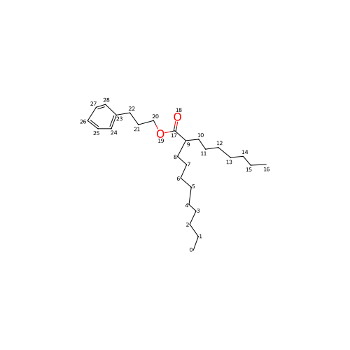 CCCCCCCCCC(CCCCCCC)C(=O)OCCCc1ccccc1